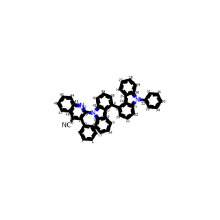 N#Cc1c(-c2ccccc2)c(-n2c3ccccc3c3c(-c4cccc5c4c4ccccc4n5-c4ccccc4)cccc32)nc2ccccc12